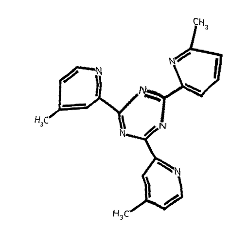 Cc1ccnc(-c2nc(-c3cc(C)ccn3)nc(-c3cccc(C)n3)n2)c1